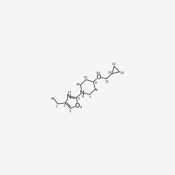 CCc1coc(N2CCC(OCC3CC3)CC2)n1